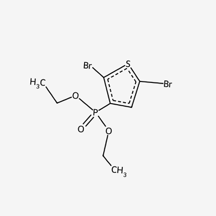 CCOP(=O)(OCC)c1cc(Br)sc1Br